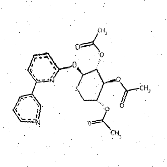 CC(=O)O[C@@H]1[C@@H](OC(C)=O)[C@H](OC(C)=O)CS[C@H]1Oc1cccc(-c2cccnc2)n1